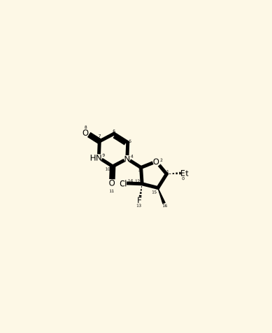 CC[C@H]1OC(n2ccc(=O)[nH]c2=O)[C@](F)(Cl)[C@@H]1C